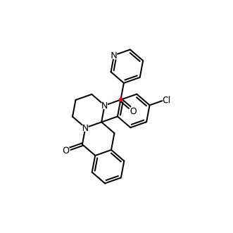 O=C(c1cccnc1)N1CCCN2C(=O)c3ccccc3CC12c1ccc(Cl)cc1